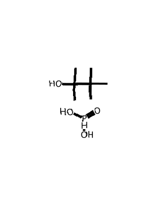 CC(C)(C)C(C)(C)O.O=[PH](O)O